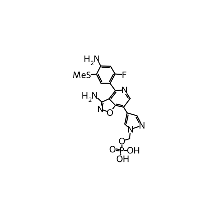 CSc1cc(-c2ncc(-c3cnn(COP(=O)(O)O)c3)c3onc(N)c23)c(F)cc1N